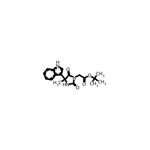 CC(C)(C)OC(=O)CN1C(=O)NC(C)(c2c[nH]c3ccccc23)C1=O